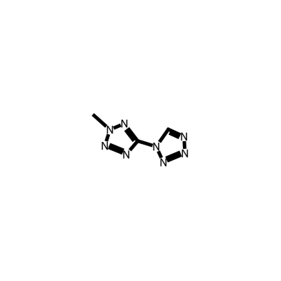 Cn1nnc(-n2cnnn2)n1